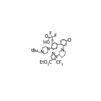 CCOC(=O)c1cnn(C2CCCN(c3cc(Cl)ccc3-c3ccc(N4CCN(CC(C)(C)C)CC4)cc3)C2)c1C(F)(F)F.O=C(O)C(F)(F)F